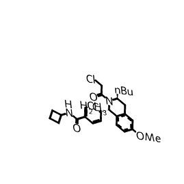 C=C(/C=C\C(=C/C)C(=O)NC1CCC1)[C@H]1c2ccc(OC)cc2C[C@H](CCCC)N1C(=O)CCl